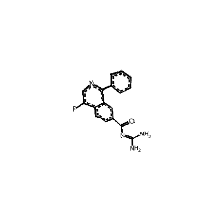 NC(N)=NC(=O)c1ccc2c(F)cnc(-c3ccccc3)c2c1